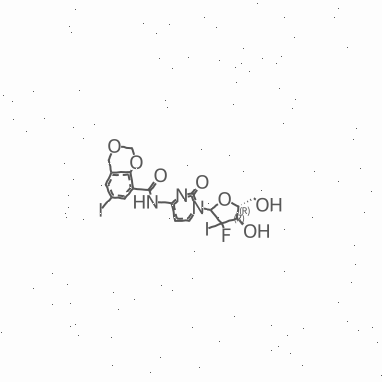 O=C(Nc1ccn(C2O[C@H](CO)[C@@H](O)C2(F)I)c(=O)n1)c1cc(I)cc2c1OCOC2